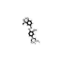 CCN(CC)c1ccc(N=Nc2ccc(O)c([N+](=O)[O-])c2)c(O)c1